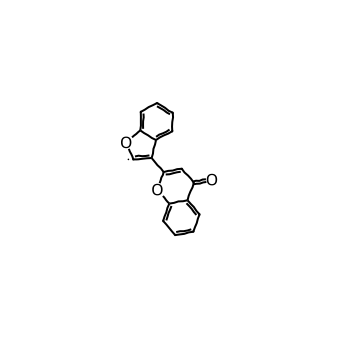 O=c1cc(-c2[c]oc3ccccc23)oc2ccccc12